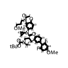 COCCCN1C(=O)COc2ccc(N(C(=O)[C@H]3CN(C(=O)OC(C)(C)C)CC[C@@H]3c3cccc(-c4c(F)cc(OC)cc4F)c3)C3CC3)cc21